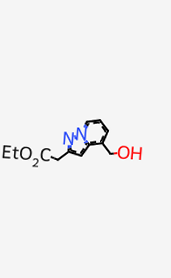 CCOC(=O)Cc1cc2c(CO)cccn2n1